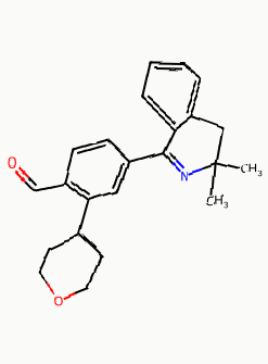 CC1(C)Cc2ccccc2C(c2ccc(C=O)c(C3CCOCC3)c2)=N1